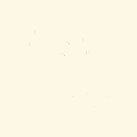 Cc1cc(SCc2[nH]c(-c3ccc(C(F)(F)F)cc3)nc2C(C)C)ccc1OCC(=O)O